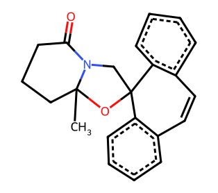 CC12CCCC(=O)N1CC1(O2)c2ccccc2C=Cc2ccccc21